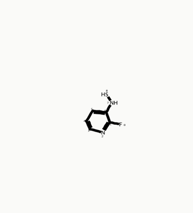 Fc1ncccc1NS